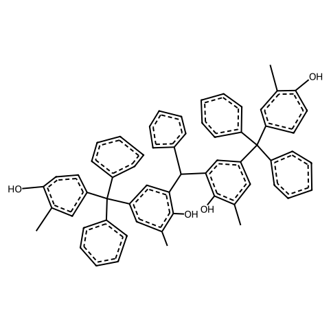 Cc1cc(C(c2ccccc2)(c2ccccc2)c2cc(C)c(O)c(C(c3ccccc3)c3cc(C(c4ccccc4)(c4ccccc4)c4ccc(O)c(C)c4)cc(C)c3O)c2)ccc1O